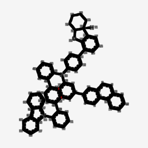 c1cc(-c2ccc3c(ccc4ccccc43)c2)cc(N(c2ccc(-c3cccc4c3OC3CCCC[C@H]43)cc2)c2ccccc2-c2ccc(-c3ccccc3-n3c4ccccc4c4ccccc43)cc2)c1